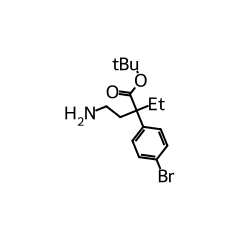 CCC(CCN)(C(=O)OC(C)(C)C)c1ccc(Br)cc1